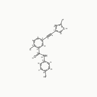 Cc1nc(C#Cc2ccc(C)c(C(=O)Nc3ccc(F)cc3)c2)cs1